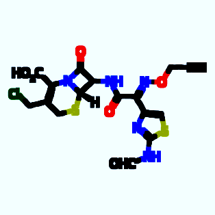 C#CCON=C(C(=O)NC1C(=O)N2C(C(=O)O)=C(CCl)CS[C@@H]12)c1csc(NC=O)n1